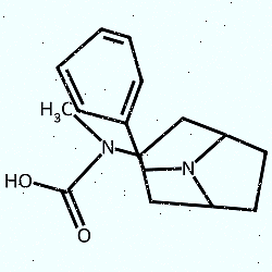 CN(C(=O)O)C1CC2CCC(C1)N2Cc1ccccc1